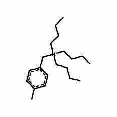 CCCC[N+](CCCC)(CCCC)Cc1ccc(C)cc1